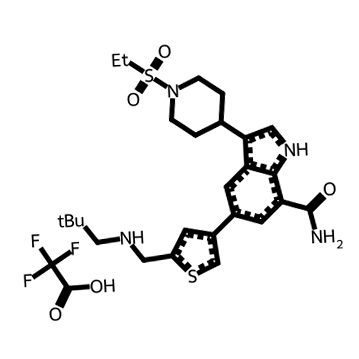 CCS(=O)(=O)N1CCC(c2c[nH]c3c(C(N)=O)cc(-c4csc(CNCC(C)(C)C)c4)cc23)CC1.O=C(O)C(F)(F)F